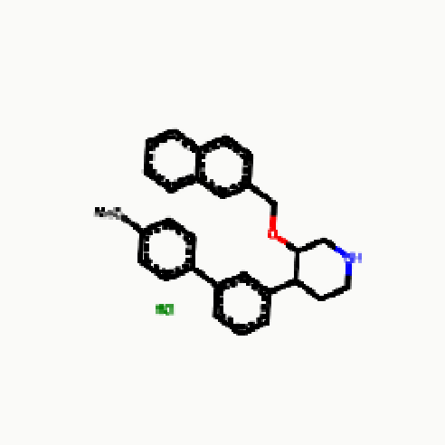 COc1ccc(-c2cccc(C3CCNCC3OCc3ccc4ccccc4c3)c2)cc1.Cl